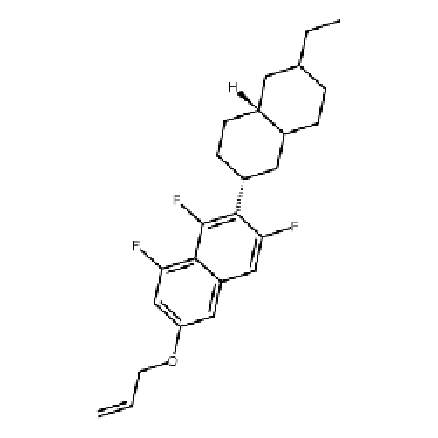 C=CCOc1cc(F)c2c(F)c([C@@H]3CC[C@@H]4CC(CC)CCC4C3)c(F)cc2c1